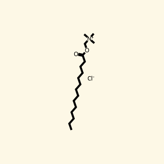 CCCCCCCCCCCCCC(=O)OC[N+](C)(C)C.[Cl-]